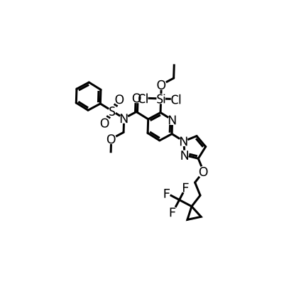 CCO[Si](Cl)(Cl)c1nc(-n2ccc(OCCC3(C(F)(F)F)CC3)n2)ccc1C(=O)N(COC)S(=O)(=O)c1ccccc1